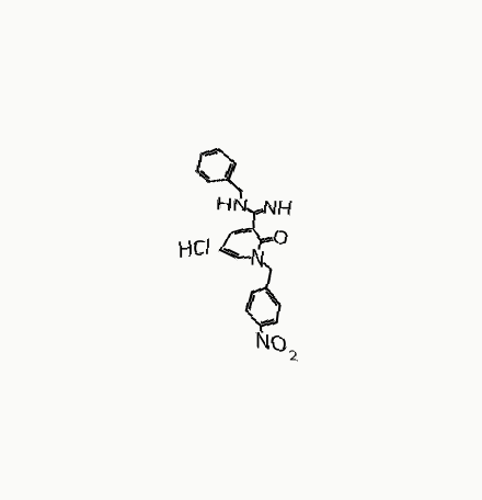 Cl.N=C(NCc1ccccc1)c1cccn(Cc2ccc([N+](=O)[O-])cc2)c1=O